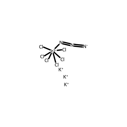 [K+].[K+].[K+].[N-]=[N+]=[N][Ir-3]([Cl])([Cl])([Cl])([Cl])([Cl])[Cl]